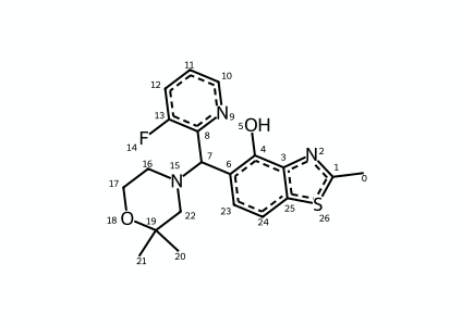 Cc1nc2c(O)c(C(c3ncccc3F)N3CCOC(C)(C)C3)ccc2s1